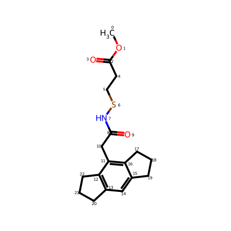 COC(=O)CCSNC(=O)Cc1c2c(cc3c1CCC3)CCC2